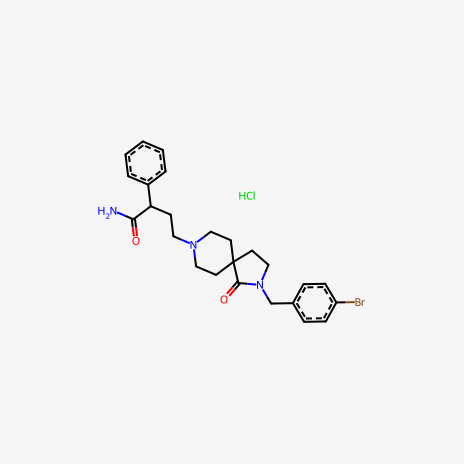 Cl.NC(=O)C(CCN1CCC2(CC1)CCN(Cc1ccc(Br)cc1)C2=O)c1ccccc1